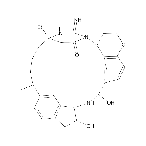 CCC12CCCC(C)c3ccc4c(c3)C(NC(O)c3ccc5c(c3)C(CCO5)N(C(=N)N1)C(=O)C2)C(O)C4